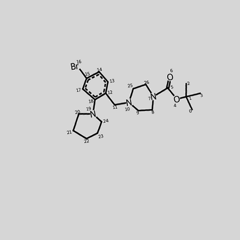 CC(C)(C)OC(=O)N1CCN(Cc2ccc(Br)cc2N2CCCCC2)CC1